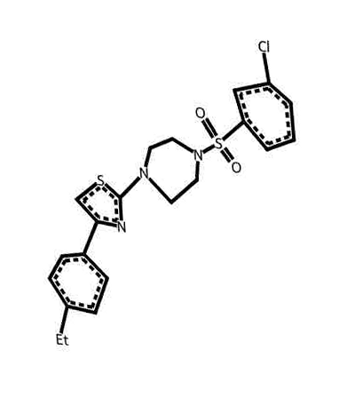 CCc1ccc(-c2csc(N3CCN(S(=O)(=O)c4cccc(Cl)c4)CC3)n2)cc1